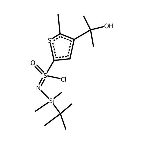 Cc1sc(S(=O)(Cl)=N[Si](C)(C)C(C)(C)C)cc1C(C)(C)O